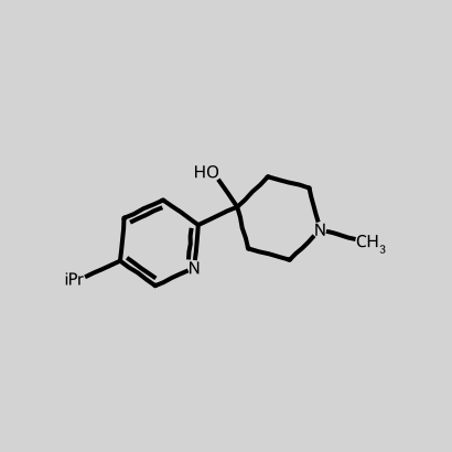 CC(C)c1ccc(C2(O)CCN(C)CC2)nc1